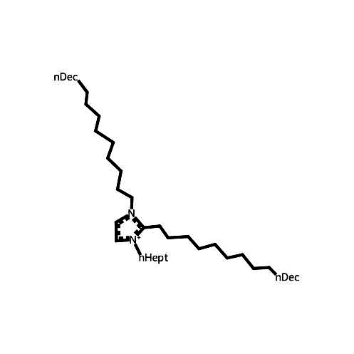 CCCCCCCCCCCCCCCCCCCc1n(CCCCCCCCCCCCCCCCCCC)cc[n+]1CCCCCCC